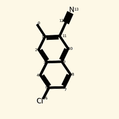 Cc1cc2cc(Cl)ccc2cc1C#N